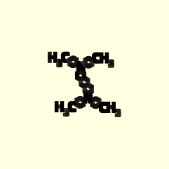 Cc1ccc(N(c2ccc(C)cc2)c2ccc3cc4cc(N(c5ccc(C)cc5)c5ccc(C)cc5)ccc4cc3c2)cc1